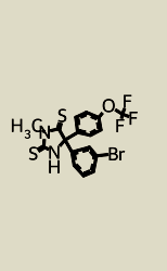 CN1C(=S)NC(c2ccc(OC(F)(F)F)cc2)(c2cccc(Br)c2)C1=S